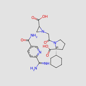 N=C(N)c1ccc(C(N)=O)cn1.O=C(O)C1CN1CC(=O)N1CCC[C@]1(C(=O)O)C1CCCCC1